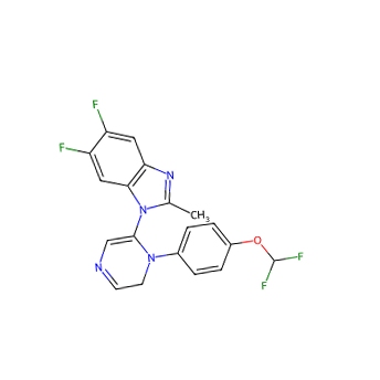 Cc1nc2cc(F)c(F)cc2n1C1=CN=CCN1c1ccc(OC(F)F)cc1